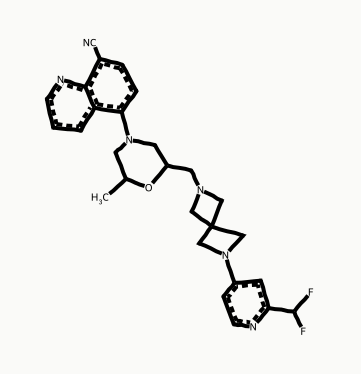 CC1CN(c2ccc(C#N)c3ncccc23)CC(CN2CC3(C2)CN(c2ccnc(C(F)F)c2)C3)O1